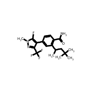 CC(CC(C)(C)C)c1cc(-c2c(C(F)(F)F)nn(C)c2F)ccc1C(N)=O